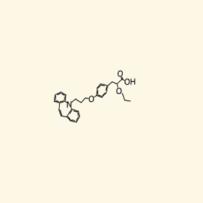 CCCOC(Cc1ccc(OCCCN2c3ccccc3C=Cc3ccccc32)cc1)C(=O)O